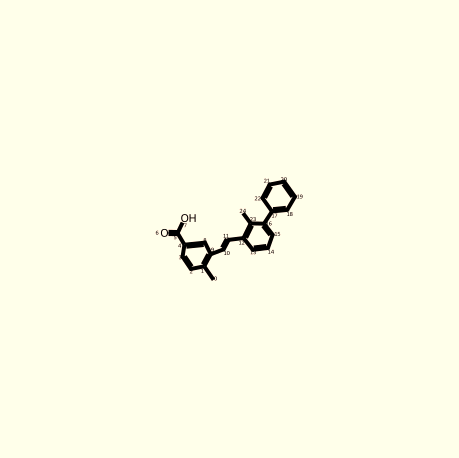 Cc1ccc(C(=O)O)cc1/C=C/c1cccc(-c2ccccc2)c1C